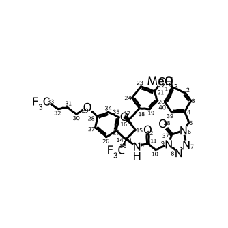 COc1ccc(Cn2nnn(CC(=O)N[C@@](CC(=O)c3ccc(C)cc3)(c3ccc(OCCCC(F)(F)F)cc3)C(F)(F)F)c2=O)cc1